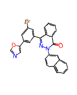 O=c1c2ccccc2c(-c2cc(Br)cc(-c3cnco3)c2)nn1-c1ccc2ccccc2c1